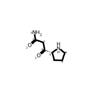 NC(=O)CC(=O)[C@H]1CCCN1